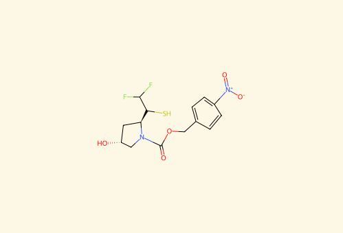 O=C(OCc1ccc([N+](=O)[O-])cc1)N1C[C@H](O)C[C@H]1C(S)C(F)F